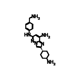 NCc1ccc(Nc2cc(N)c3nc([C@H]4CC[C@H](N)CC4)cn3n2)cc1